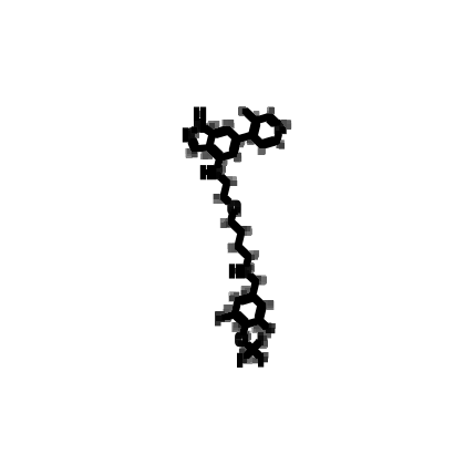 Cc1cnccc1-c1cc(NCCOCCCCNCc2cc(F)c(OC(F)(F)F)c(F)c2)c2cn[nH]c2c1